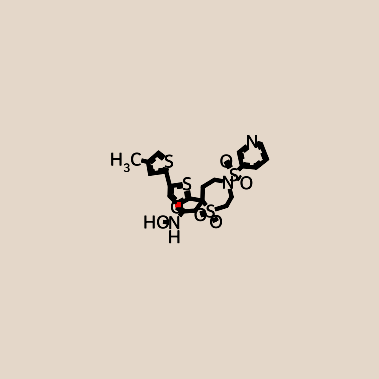 Cc1csc(-c2ccc(C3(CC(=O)NO)CCN(S(=O)(=O)c4cccnc4)CCS3(=O)=O)s2)c1